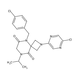 CC(C)N1CC(=O)N(Cc2ccc(Cl)cc2)C2(CN(c3cnc(Cl)cn3)C2)C1=O